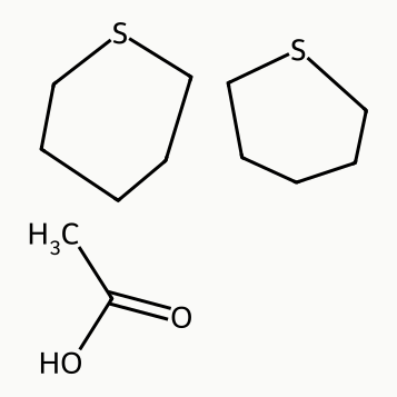 C1CCSCC1.C1CCSCC1.CC(=O)O